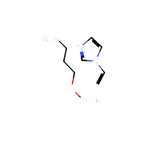 C=Cn1ccnc1.CCCCCCCCCCCCOS(=O)(=O)O